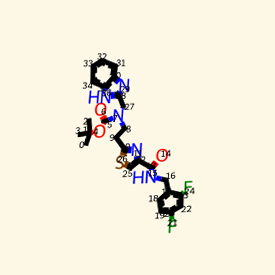 CC(C)(C)OC(=O)N(CCc1nc(C(=O)NCc2ccc(F)cc2F)cs1)Cc1nc2ccccc2[nH]1